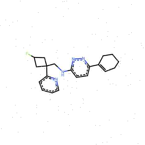 FC1CC(CNc2ccc(C3=CCCCC3)nn2)(c2ccccn2)C1